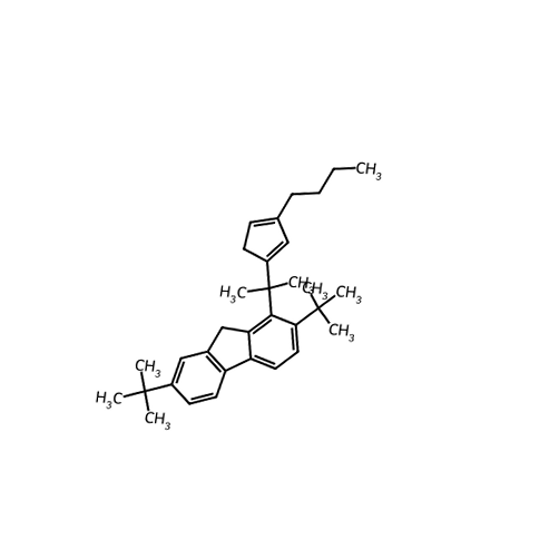 CCCCC1=CCC(C(C)(C)c2c(C(C)(C)C)ccc3c2Cc2cc(C(C)(C)C)ccc2-3)=C1